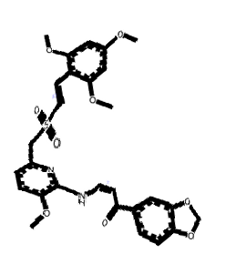 COc1cc(OC)c(/C=C/S(=O)(=O)Cc2ccc(OC)c(N/C=C\C(=O)c3ccc4c(c3)OCO4)n2)c(OC)c1